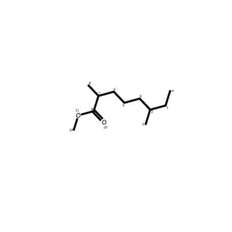 CCC(C)CCCC(C)C(=O)OC